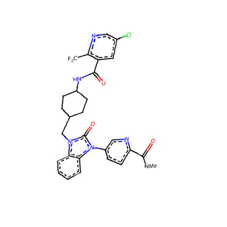 CNC(=O)c1ccc(-n2c(=O)n(CC3CCC(NC(=O)c4cc(Cl)cnc4C(F)(F)F)CC3)c3ccccc32)cn1